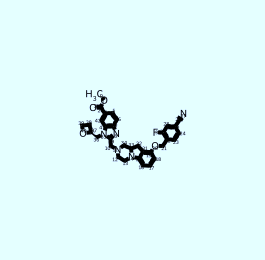 COC(=O)c1ccc2nc(CN3CCN4c5cccc(OCc6ccc(C#N)cc6F)c5CC4C3)n(C[C@@H]3CCO3)c2c1